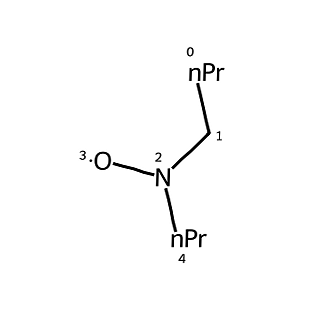 CCCCN([O])CCC